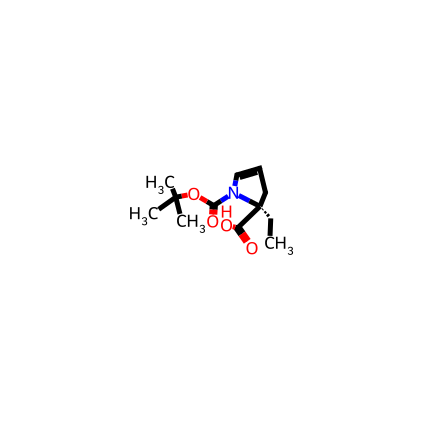 CC[C@@]1(C(=O)O)CC=CN1C(=O)OC(C)(C)C